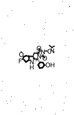 COc1cc2c3c([nH]c2cc1F)[C@@H](c1cccc(O)c1)N1C(=O)N(CCN(C)C(C)C)C(=O)[C@]1(C)C3